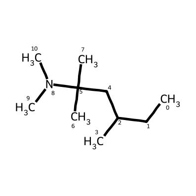 CCC(C)CC(C)(C)N(C)C